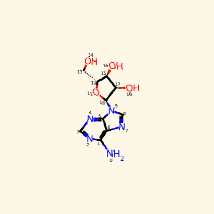 Nc1ncnc2c1ncn2[C@H]1O[C@H](CO)[C@@H](O)[C@H]1O